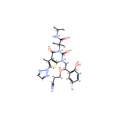 Cc1c(-n2nccn2)sc2c1c(=O)n(C(C)(C)C(=O)NC(C)C)c(=O)n2C[C@H](OCCC#N)c1cc(F)ccc1O